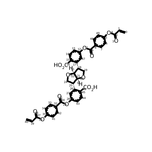 C=CC(=O)Oc1ccc(C(=O)Oc2ccc(C(=O)O)c([C@@H]3CO[C@@H]4[C@H]3OC[C@H]4c3cc(OC(=O)c4ccc(OC(=O)C=C)cc4)ccc3C(=O)O)c2)cc1